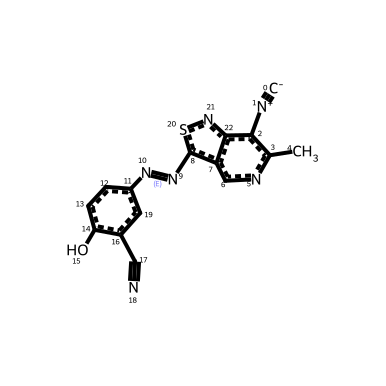 [C-]#[N+]c1c(C)ncc2c(/N=N/c3ccc(O)c(C#N)c3)snc12